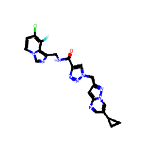 O=C(NCc1ncn2ccc(Cl)c(F)c12)c1cn(Cc2cc3ncc(C4CC4)cn3n2)nn1